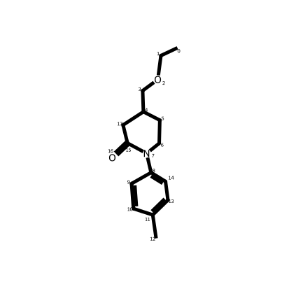 CCOCC1CCN(c2ccc(C)cc2)C(=O)C1